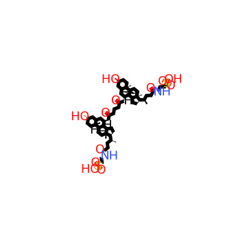 C[C@H](CCC(=O)NCCS(=O)(=O)O)[C@H]1CC[C@@H]2[C@H]3[C@H](CC(=O)CCCC(=O)C[C@@H]4CC5C[C@@H](O)CC[C@@]5(C)[C@@H]5CC[C@]6(C)[C@H](CC[C@H]6[C@H](C)CCC(=O)NCCS(=O)(=O)O)[C@@H]45)CC4C[C@@H](O)CC[C@@]4(C)[C@@H]3CC[C@]21C